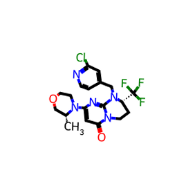 C[C@@H]1COCCN1c1cc(=O)n2c(n1)N(Cc1ccnc(Cl)c1)[C@H](C(F)(F)F)CC2